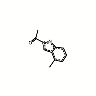 CC(=O)n1cc2c(C)cccc2n1